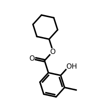 Cc1cccc(C(=O)OC2CCCCC2)c1O